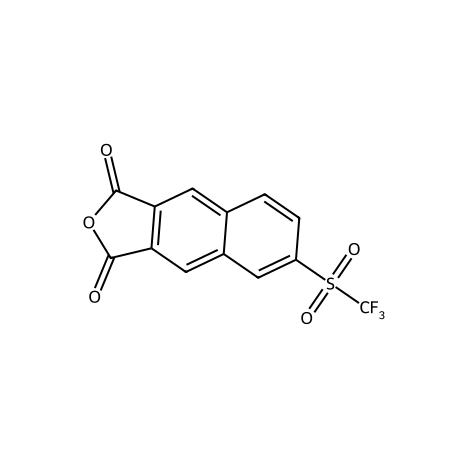 O=C1OC(=O)c2cc3cc(S(=O)(=O)C(F)(F)F)ccc3cc21